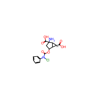 NC1(C(=O)O)CC(OC(=O)N(Cl)c2ccccc2)C2C1[C@H]2C(=O)O